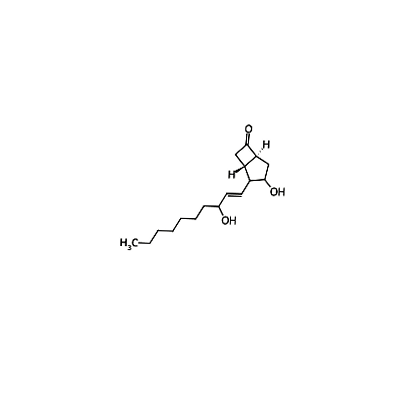 CCCCCCCC(O)C=CC1C(O)C[C@@H]2C(=O)C[C@@H]12